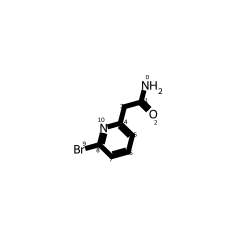 NC(=O)[CH]c1cccc(Br)n1